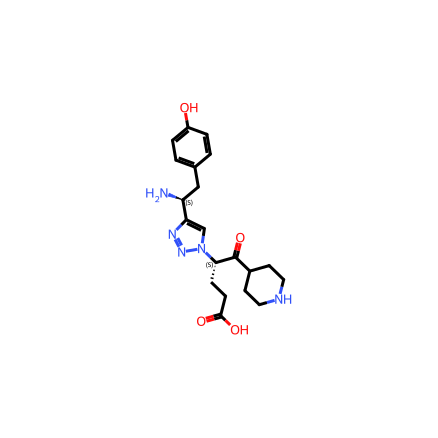 N[C@@H](Cc1ccc(O)cc1)c1cn([C@@H](CCC(=O)O)C(=O)C2CCNCC2)nn1